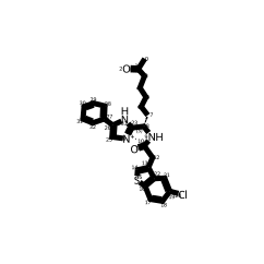 CC(=O)CCCCC[C@H](NC(=O)Cc1csc2ccc(Cl)cc12)C1=[N+]C=C(c2ccccc2)N1